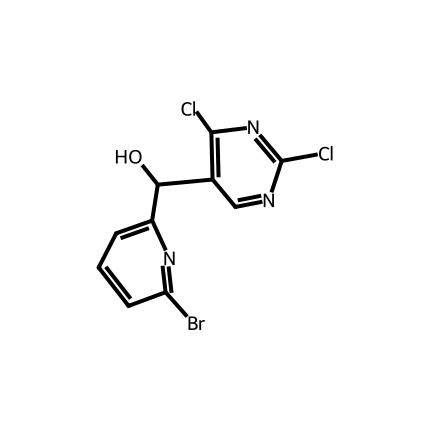 OC(c1cccc(Br)n1)c1cnc(Cl)nc1Cl